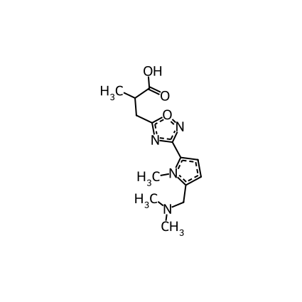 CC(Cc1nc(-c2ccc(CN(C)C)n2C)no1)C(=O)O